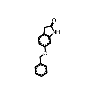 O=C1Cc2ccc(OCc3ccccc3)cc2N1